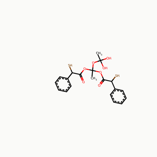 CC(O)(O)OC(C)(OC(=O)C(S)c1ccccc1)OC(=O)C(S)c1ccccc1